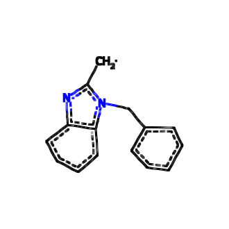 [CH2]c1nc2ccccc2n1Cc1ccccc1